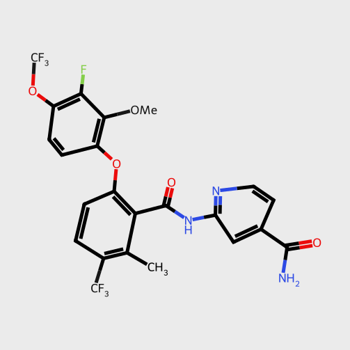 COc1c(Oc2ccc(C(F)(F)F)c(C)c2C(=O)Nc2cc(C(N)=O)ccn2)ccc(OC(F)(F)F)c1F